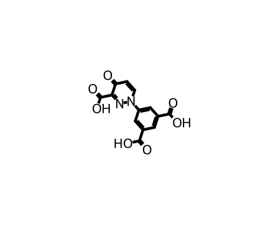 O=C(O)c1cc(C(=O)O)cc(-n2ccc(=O)c(C(=O)O)n2)c1